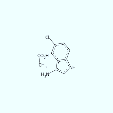 CC(=O)O.Nc1c[nH]c2ccc(Cl)cc12